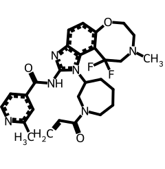 C=CC(=O)N1CCCCC(n2c(NC(=O)c3ccnc(C)c3)nc3ccc4c(c32)C(F)(F)CN(C)CCO4)C1